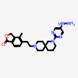 Cc1c(CCN2CCC3(CCCN(c4ncc(NN)cn4)C3)CC2)ccc2c1COC2=O